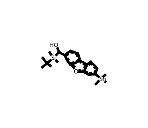 CC(C)(C)[Si](C)(C)C(O)c1ccc2c(c1)oc1c[c]([Sn]([CH3])([CH3])[CH3])ccc12